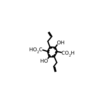 C=CCc1c(O)c(C(=O)O)c(CC=C)c(O)c1C(=O)O